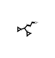 O=CC=CC(C1CC1)C1CC1